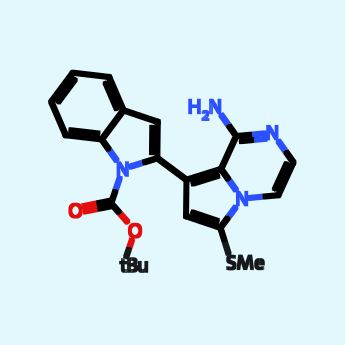 CSc1cc(-c2cc3ccccc3n2C(=O)OC(C)(C)C)c2c(N)nccn12